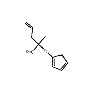 C=CC[C](C)(C=O)[Fe][C]1=CC=CC1